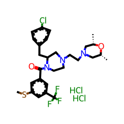 CSc1cc(C(=O)N2CCN(CCN3C[C@@H](C)O[C@@H](C)C3)CC2Cc2ccc(Cl)cc2)cc(C(F)(F)F)c1.Cl.Cl